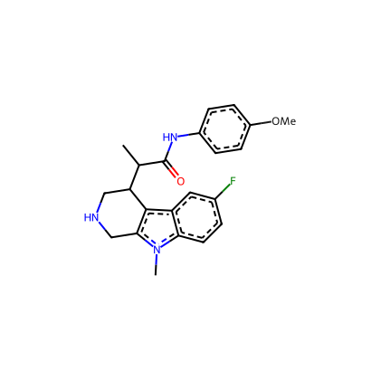 COc1ccc(NC(=O)C(C)C2CNCc3c2c2cc(F)ccc2n3C)cc1